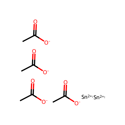 CC(=O)[O-].CC(=O)[O-].CC(=O)[O-].CC(=O)[O-].[Sn+2].[Sn+2]